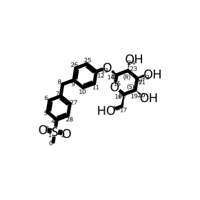 CS(=O)(=O)c1ccc(Cc2ccc(O[C@@H]3O[C@H](CO)[C@@H](O)[C@H](O)[C@H]3O)cc2)cc1